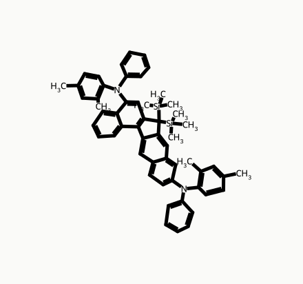 Cc1ccc(N(c2ccccc2)c2ccc3cc4c(cc3c2)C([Si](C)(C)C)([Si](C)(C)C)c2cc(N(c3ccccc3)c3ccc(C)cc3C)c3ccccc3c2-4)c(C)c1